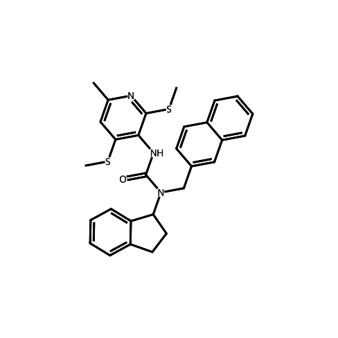 CSc1cc(C)nc(SC)c1NC(=O)N(Cc1ccc2ccccc2c1)C1CCc2ccccc21